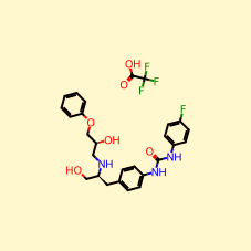 O=C(Nc1ccc(F)cc1)Nc1ccc(C[C@@H](CO)NC[C@H](O)COc2ccccc2)cc1.O=C(O)C(F)(F)F